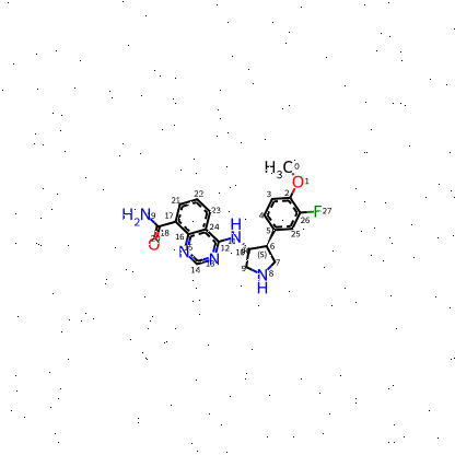 COc1ccc([C@H]2CNC[C@@H]2Nc2ncnc3c(C(N)=O)cccc23)cc1F